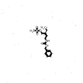 CC[C@@H](CCNC(=O)OCc1ccccc1)COS(C)(=O)=O